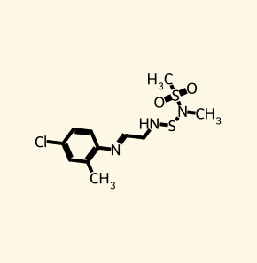 Cc1cc(Cl)ccc1N=CCNSN(C)S(C)(=O)=O